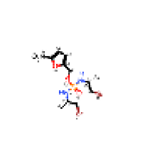 C[C@H](CBr)NP(=O)(N[C@H](C)CBr)OCc1ccc([N+](=O)[O-])o1